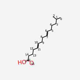 CC(C)CCCC=CCCC=CCCCC(=O)O